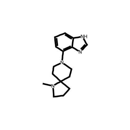 CN1CCCC12CCN(c1cccc3[nH]cnc13)CC2